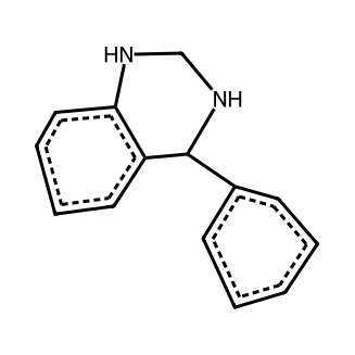 c1ccc(C2NCNc3ccccc32)cc1